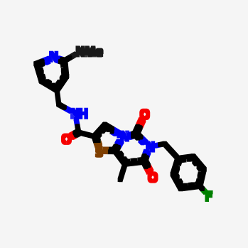 CNc1cc(CNC(=O)c2cn3c(=O)n(Cc4ccc(F)cc4)c(=O)c(C)c3s2)ccn1